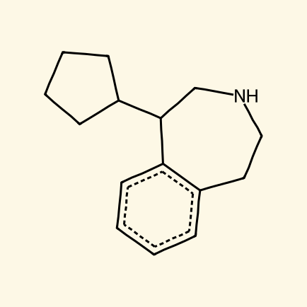 c1ccc2c(c1)CCNCC2C1CCCC1